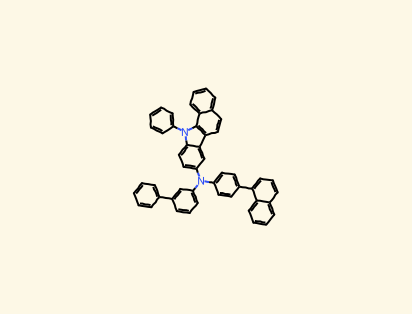 c1ccc(-c2cccc(N(c3ccc(-c4cccc5ccccc45)cc3)c3ccc4c(c3)c3ccc5ccccc5c3n4-c3ccccc3)c2)cc1